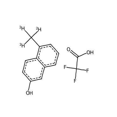 O=C(O)C(F)(F)F.[2H]C([2H])([2H])c1cccc2cc(O)ccc12